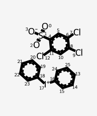 O=S(=O)([O-])c1cc(Cl)c(Cl)cc1Cl.c1ccc([I+]c2ccccc2)cc1